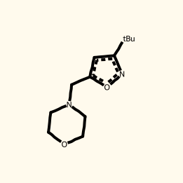 CC(C)(C)c1cc(CN2CCOCC2)on1